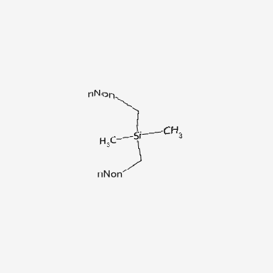 CCCCCCCCCC[Si](C)(C)CCCCCCCCCC